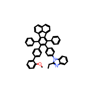 CCc1nc2ccccc2n1-c1ccc(-c2c(-c3ccc(-c4ccccc4OC)cc3)c(-c3ccccc3)c3c(c2-c2ccccc2)-c2cccc4cccc-3c24)cc1